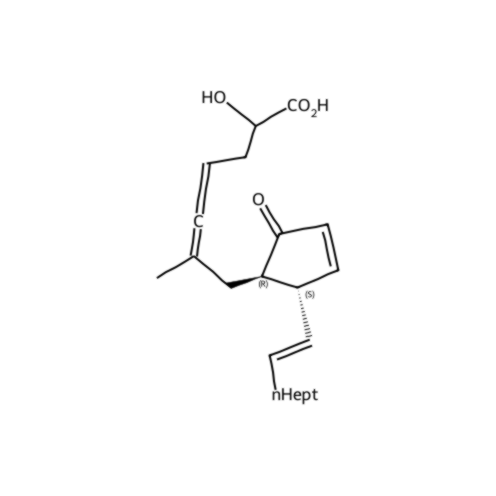 CCCCCCCC=C[C@H]1C=CC(=O)[C@@H]1CC(C)=C=CCC(O)C(=O)O